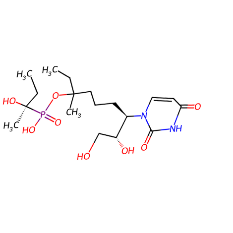 CCC(C)(CCC[C@H]([C@H](O)CO)n1ccc(=O)[nH]c1=O)OP(=O)(O)[C@@](C)(O)CC